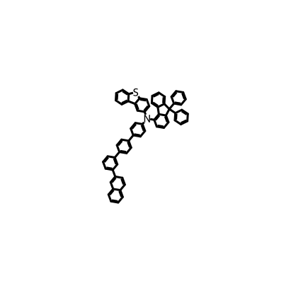 c1ccc(C2(c3ccccc3)c3ccccc3-c3c(N(c4ccc(-c5ccc(-c6cccc(-c7ccc8ccccc8c7)c6)cc5)cc4)c4ccc5sc6ccccc6c5c4)cccc32)cc1